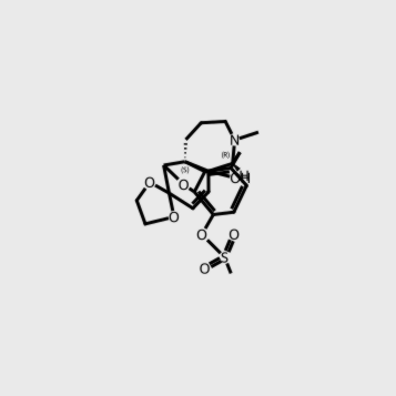 CN1CCC[C@]23c4c5ccc(OS(C)(=O)=O)c4OC2C2(C=CC3(O)[C@H]1C5)OCCO2